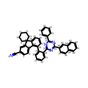 N#Cc1ccc2c(c1)C1(CCCCC1)c1cccc(-c3ccccc3-c3nc(-c4ccccc4)nc(-c4ccc5ccccc5c4)n3)c1-2